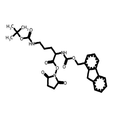 CC(C)(C)OC(=O)NCCCC(NC(=O)OCc1cccc2c1Cc1ccccc1-2)C(=O)ON1C(=O)CCC1=O